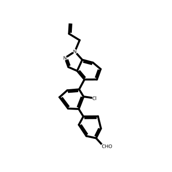 C=CCn1ncc2c(-c3cccc(-c4ccc(C=O)cc4)c3Cl)cccc21